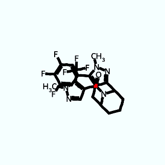 Cn1nc2c(c1-c1cc(F)c(F)c(F)c1)CC1CCCC2N1C(=O)c1cnn(C)c1C(F)(F)F